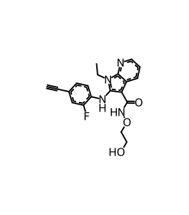 C#Cc1ccc(Nc2c(C(=O)NOCCO)c3cccnc3n2CC)c(F)c1